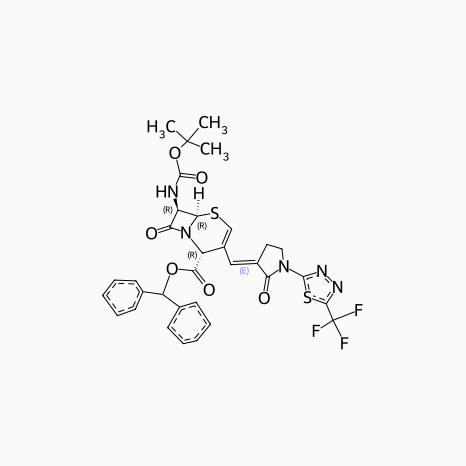 CC(C)(C)OC(=O)N[C@@H]1C(=O)N2[C@@H](C(=O)OC(c3ccccc3)c3ccccc3)C(/C=C3\CCN(c4nnc(C(F)(F)F)s4)C3=O)=CS[C@H]12